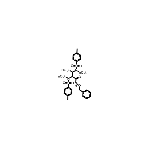 CCCCCCCCN(C(C(=O)O)C(C(=O)NOCc1ccccc1)N(CCCCCCCC)S(=O)(=O)c1ccc(C)cc1)S(=O)(=O)c1ccc(C)cc1